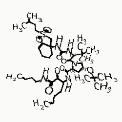 C=CCCNC(=O)C(=O)C(CCC=C)NC(=O)[C@@H]1C[C@@H](OC(C)(C)C)CN1C(=O)[C@@H](NC(=O)NC1(CS(=O)(=O)CCC(C)C)CCCCC1)C(C)(C)C